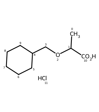 CC(OCC1CCCCC1)C(=O)O.Cl